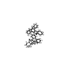 C1=CC2=NC(c3ccc(-n4c5ccccc5c5c6c7ccccc7sc6c6sc7ccccc7c6c54)cc3)=C(c3ccccc3)NC2C=C1